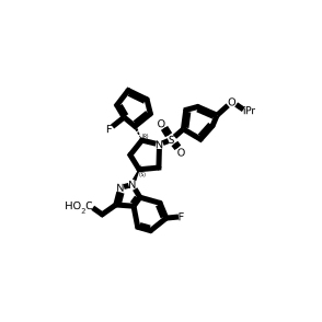 CC(C)Oc1ccc(S(=O)(=O)N2C[C@@H](n3nc(CC(=O)O)c4ccc(F)cc43)C[C@@H]2c2ccccc2F)cc1